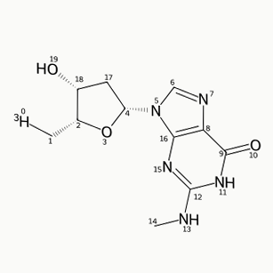 [3H]C[C@H]1O[C@@H](n2cnc3c(=O)[nH]c(NC)nc32)C[C@H]1O